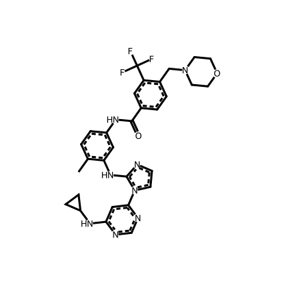 Cc1ccc(NC(=O)c2ccc(CN3CCOCC3)c(C(F)(F)F)c2)cc1Nc1nccn1-c1cc(NC2CC2)ncn1